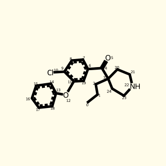 CCCC1(C(=O)c2ccc(Cl)c(Oc3ccccc3)c2)CCNCC1